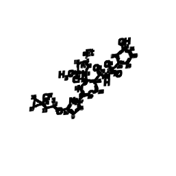 CC[C@@H]1CN(c2nc(-n3ccc(OCCC4(C(F)(F)F)CC4)n3)ccc2C(=O)NS(=O)(=O)c2cccc(O)c2)C(C)(C)C1